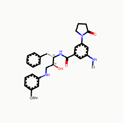 CCNc1cc(C(=O)N[C@@H](Cc2ccccc2)[C@@H](O)CNc2cccc(OC)c2)cc(N2CCCC2=O)c1